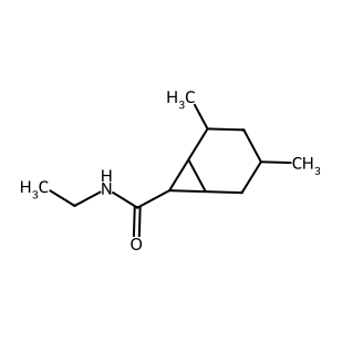 CCNC(=O)C1C2CC(C)CC(C)C21